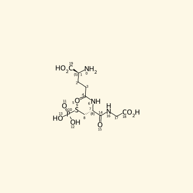 N[C@@H](CCC(=O)N[C@@H](CSP(=O)(O)O)C(=O)NCC(=O)O)C(=O)O